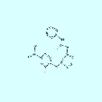 O=C(Nc1ccccc1)Oc1cc(Oc2ccc([N+](=O)[O-])cc2F)ncn1